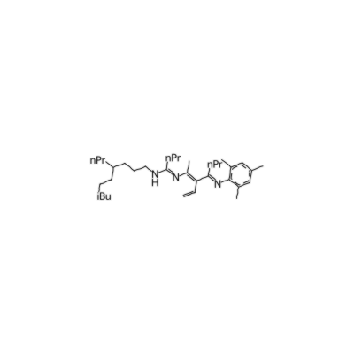 C=CC(/C(CCC)=N/c1c(C)cc(C)cc1C)=C(C)\N=C(/CCC)NCCCC(CCC)CCC(C)CC